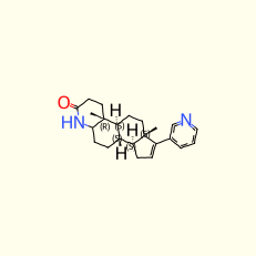 C[C@]12CCC(=O)NC1CC[C@@H]1[C@@H]2CC[C@]2(C)C(c3cccnc3)=CC[C@@H]12